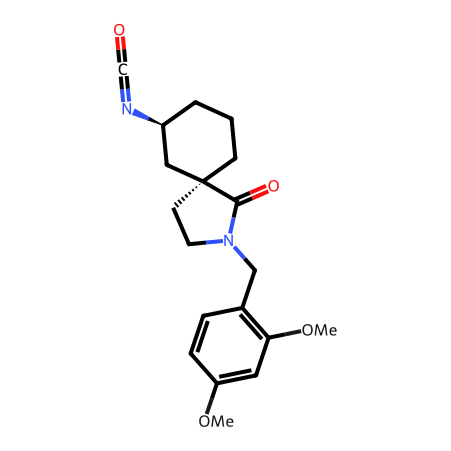 COc1ccc(CN2CC[C@]3(CCC[C@H](N=C=O)C3)C2=O)c(OC)c1